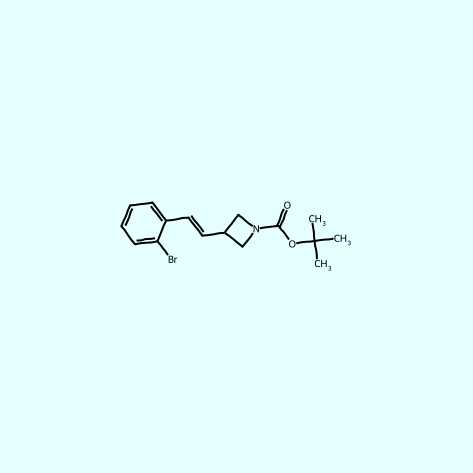 CC(C)(C)OC(=O)N1CC(/C=C/c2ccccc2Br)C1